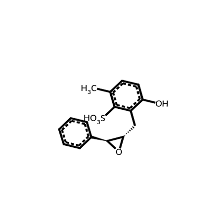 Cc1ccc(O)c(C[C@@H]2O[C@H]2c2ccccc2)c1S(=O)(=O)O